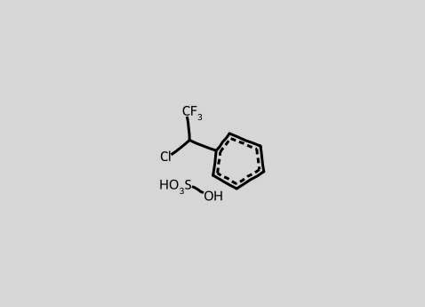 FC(F)(F)C(Cl)c1ccccc1.O=S(=O)(O)O